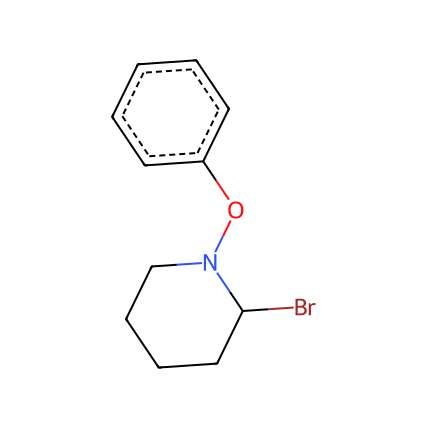 BrC1CCCCN1Oc1ccccc1